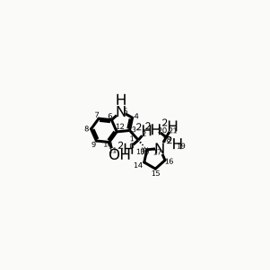 [2H]C([2H])(c1c[nH]c2cccc(O)c12)[C@H]1CCCN1C([2H])([2H])[2H]